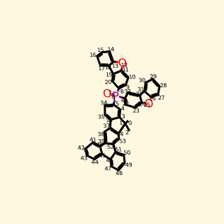 CC1(C)c2cc(P(=O)(c3ccc4oc5ccccc5c4c3)c3ccc4oc5ccccc5c4c3)ccc2-c2cc3c4ccccc4c4ccccc4c3cc21